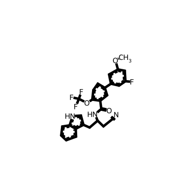 COc1cc(F)cc(-c2ccc(OC(F)(F)F)c(C(=O)NC(CC#N)Cc3c[nH]c4ccccc34)c2)c1